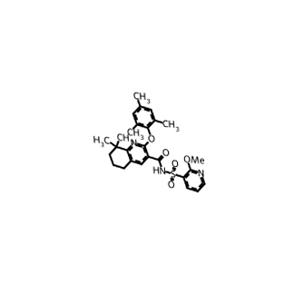 COc1ncccc1S(=O)(=O)NC(=O)c1cc2c(nc1Oc1c(C)cc(C)cc1C)C(C)(C)CCC2